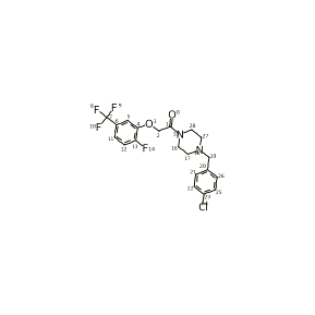 O=C(COc1cc(C(F)(F)F)ccc1F)N1CCN(Cc2ccc(Cl)cc2)CC1